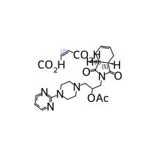 CC(=O)OC(CN1CCN(c2ncccn2)CC1)CN1C(=O)[C@H]2CC=CC[C@H]2C1=O.O=C(O)/C=C\C(=O)O